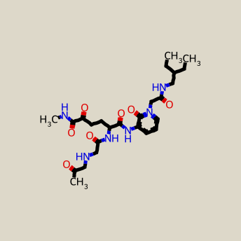 CCC(CC)CNC(=O)Cn1cccc(NC(=O)C(CCC(=O)C(=O)NC)NC(=O)CNCC(C)=O)c1=O